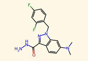 CN(C)c1ccc2c(C(=O)NN)nn(Cc3ccc(F)cc3F)c2c1